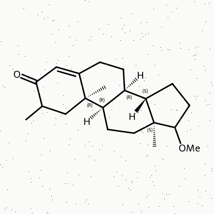 COC1CC[C@H]2[C@@H]3CCC4=CC(=O)C(C)C[C@]4(C)[C@@H]3CC[C@]12C